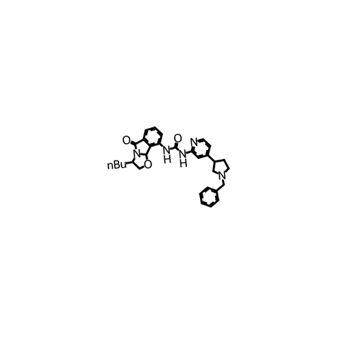 CCCCC1COC2c3c(NC(=O)Nc4cc(C5CCN(Cc6ccccc6)C5)ccn4)cccc3C(=O)N12